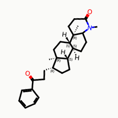 CN1C(=O)CC[C@@]2(C)C1CC[C@H]1[C@@H]3CC[C@H](CCC(=O)c4ccccc4)[C@@]3(C)CC[C@@H]12